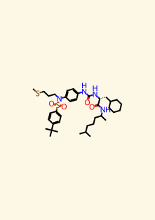 CSCCCN(c1ccc(NC(=O)N[C@H](CC2CCCCC2)C(=O)NC(C)CCCC(C)C)cc1)S(=O)(=O)c1ccc(C(C)(C)C)cc1